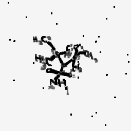 C[Si](C)(C)N([Si](C)(C)C)S(N)(=O)=O